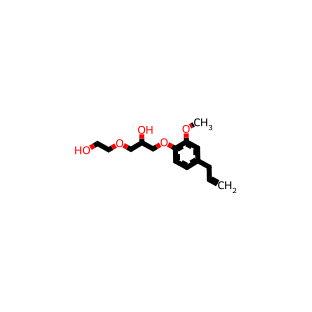 C=CCc1ccc(OCC(O)COCCO)c(OC)c1